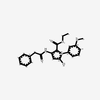 CCOC(=O)c1c(NC(=O)Cc2ccccc2)cc(Cl)n1-c1cccc(OC)c1